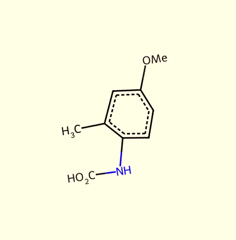 COc1ccc(NC(=O)O)c(C)c1